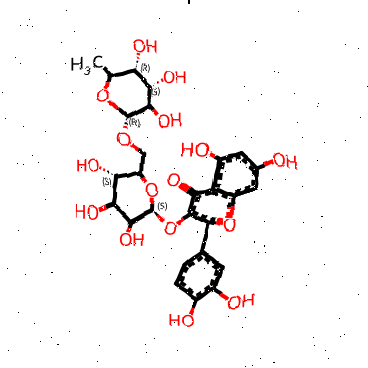 CC1O[C@@H](OCC2O[C@@H](Oc3c(-c4ccc(O)c(O)c4)oc4cc(O)cc(O)c4c3=O)C(O)C(O)[C@@H]2O)C(O)[C@@H](O)[C@H]1O